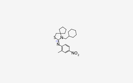 Cc1cc([N+](=O)[O-])ccc1/N=C1/SCC2(CCCC2)N1CC1CCCCC1